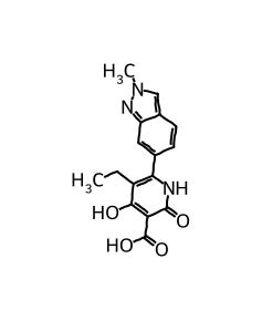 CCc1c(-c2ccc3cn(C)nc3c2)[nH]c(=O)c(C(=O)O)c1O